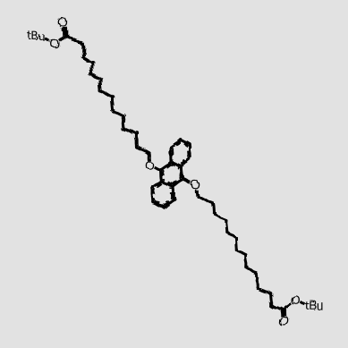 CC(C)(C)OC(=O)CCCCCCCCCCCCCOc1c2ccccc2c(OCCCCCCCCCCCCCC(=O)OC(C)(C)C)c2ccccc12